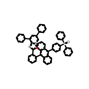 O=P(c1ccccc1)(c1ccccc1)c1ccc(-c2c3ccccc3c(-c3ccccc3-c3nc4c(-c5ccccc5)cc(-c5ccccc5)cn4n3)c3ccccc23)cc1